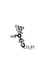 CCOC(=O)C1(C)CCN(c2ncc(-c3cc(CO)c4sc(N5CN(C)CN(CC)C5=O)nc4c3)cn2)CC1